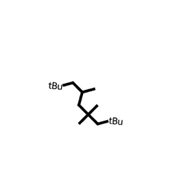 CC(CC(C)(C)C)CC(C)(C)CC(C)(C)C